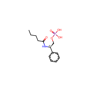 CCCCC(=O)N[C@@H](COP(=O)(O)O)c1ccccc1